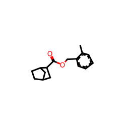 Cc1ccccc1COC(=O)C1CC2CCC1C2